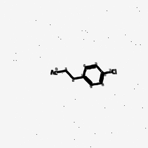 [CH2]C(=O)CCc1ccc(Cl)cc1